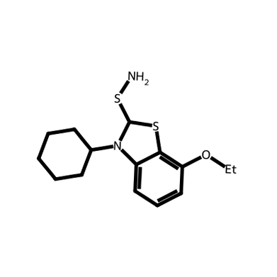 CCOc1cccc2c1SC(SN)N2C1CCCCC1